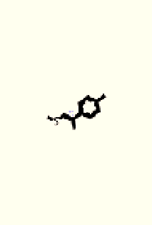 CS/C=C(\C)c1ccc(C)cc1